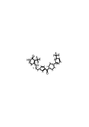 C[C@@H](Cn1ccc(C(=O)N2CCN(c3nccc(C(F)(F)F)n3)CC2)c1)Nc1cn[nH]c(=O)c1C(F)(F)F